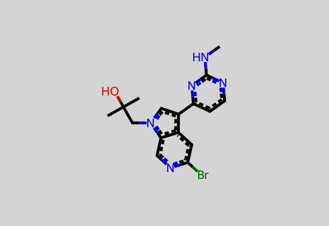 CNc1nccc(-c2cn(CC(C)(C)O)c3cnc(Br)cc23)n1